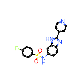 O=S(=O)(Nc1ccc2nc(-c3ccncc3)[nH]c2c1)c1ccc(F)cc1